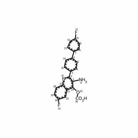 Nc1c(-c2ccc(-c3ccc(F)cc3)cc2)nc2ccc(F)cc2c1OC(=O)O